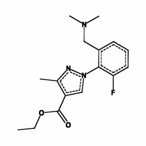 CCOC(=O)c1cn(-c2c(F)cccc2CN(C)C)nc1C